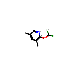 Cc1cnc(OC(F)F)c(C)c1